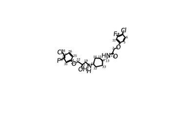 O=C(COc1ccc(Cl)c(F)c1)NC[C@H]1CC[C@H](NCC(O)COc2ccc(Cl)c(F)c2)CC1